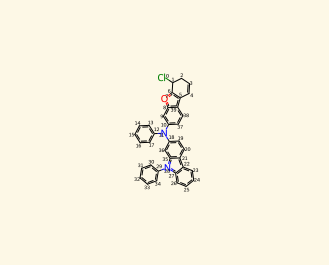 ClC1CC=Cc2c1oc1cc(N(c3ccccc3)c3ccc4c5ccccc5n(-c5ccccc5)c4c3)ccc21